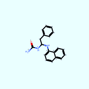 NC(=O)NC(Cc1ccccc1)Nc1cccc2ccccc12